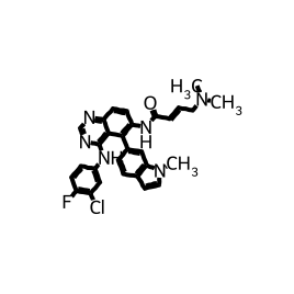 CN(C)C/C=C/C(=O)Nc1ccc2ncnc(Nc3ccc(F)c(Cl)c3)c2c1-c1ccc2ccn(C)c2c1